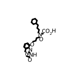 O=C(O)CN(CCCCC1CCCCC1)C(=O)CCCOc1cccc2c1N=C1NC(=O)CN1C2